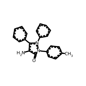 Cc1ccc(-n2c(=O)c(N)c(-c3ccccc3)n2-c2ccccc2)cc1